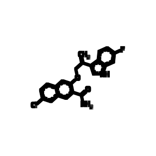 C=C(COc1cc2ccc(Cl)cc2cc1C(N)=O)c1c[nH]c2cc(F)ccc12